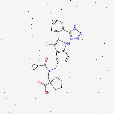 O=C(C1CC1)N(Cc1ccc2[nH]c(-c3ccccc3-c3nnn[nH]3)c(Br)c2c1)CC1(C(=O)O)CCCC1